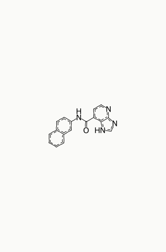 O=C(Nc1ccc2ccccc2c1)c1ccnc2nc[nH]c12